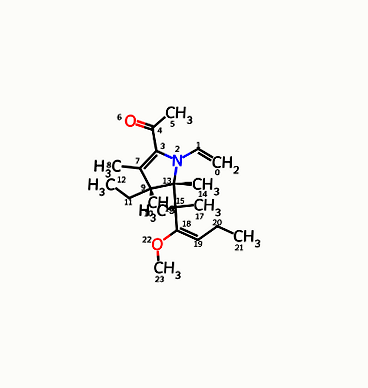 C=CN1C(C(C)=O)=C(C)[C@@](C)(CC)[C@@]1(C)C(C)(C)/C(=C\CC)OC